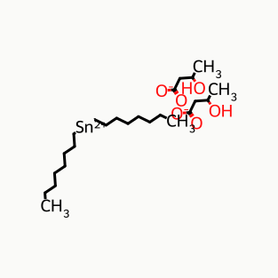 CC(O)CC(=O)[O-].CC(O)CC(=O)[O-].CCCCCCC[CH2][Sn+2][CH2]CCCCCCC